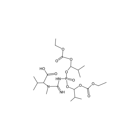 CCOC(=O)OC(OP(=O)(NC(=N)N(C)C(C(=O)O)C(C)C)OC(OC(=O)OCC)C(C)C)C(C)C